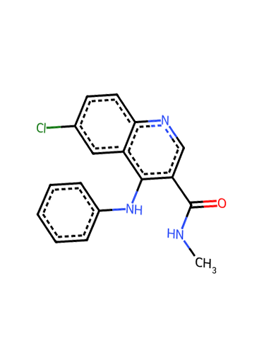 CNC(=O)c1cnc2ccc(Cl)cc2c1Nc1ccccc1